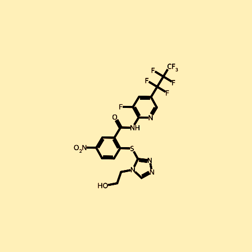 O=C(Nc1ncc(C(F)(F)C(F)(F)C(F)(F)F)cc1F)c1cc([N+](=O)[O-])ccc1Sc1nncn1CCO